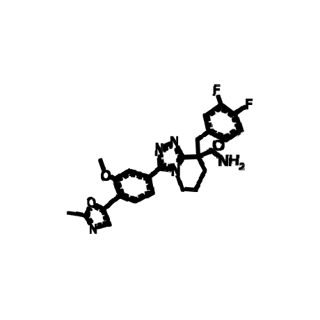 COc1cc(-c2nnc3n2CCCC3(Cc2ccc(F)c(F)c2)C(N)=O)ccc1-c1cnc(C)o1